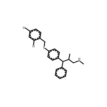 CNCC(C)C(c1ccccc1)c1ccc(SCc2ccc(Cl)cc2Cl)cc1